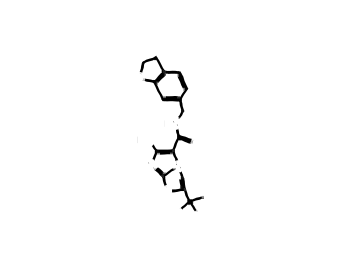 Cc1nc2sc(C(F)(F)F)cn2c1C(=O)NCc1ccc2c(c1)OCC2